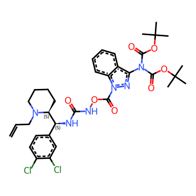 C=CCN1CCCC[C@H]1[C@@H](NC(=O)NOC(=O)n1nc(N(C(=O)OC(C)(C)C)C(=O)OC(C)(C)C)c2ccccc21)c1ccc(Cl)c(Cl)c1